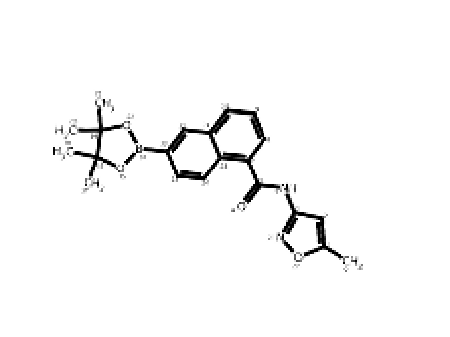 Cc1cc(NC(=O)c2cccc3cc(B4OC(C)(C)C(C)(C)O4)ccc23)no1